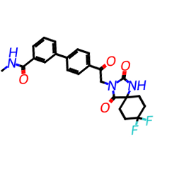 CNC(=O)c1cccc(-c2ccc(C(=O)CN3C(=O)NC4(CCC(F)(F)CC4)C3=O)cc2)c1